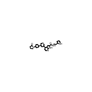 O=C(NCCc1ccc[nH]1)c1cc2c(-c3cncc(-c4ccc(N5CCCC5=O)cc4)c3)ccnc2[nH]1